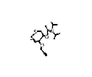 C#CCOC1CSSCC1OP(C)N(C(C)C)C(C)C